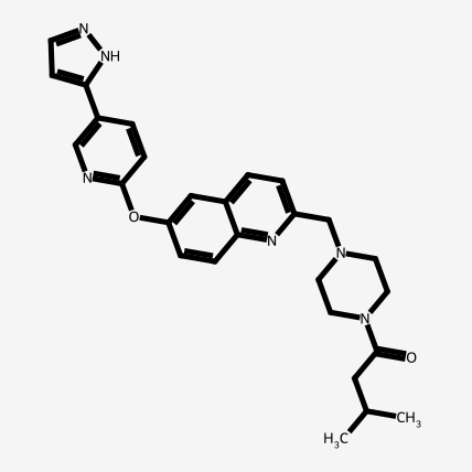 CC(C)CC(=O)N1CCN(Cc2ccc3cc(Oc4ccc(-c5ccn[nH]5)cn4)ccc3n2)CC1